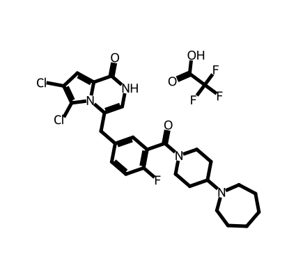 O=C(O)C(F)(F)F.O=C(c1cc(Cc2c[nH]c(=O)c3cc(Cl)c(Cl)n23)ccc1F)N1CCC(N2CCCCCC2)CC1